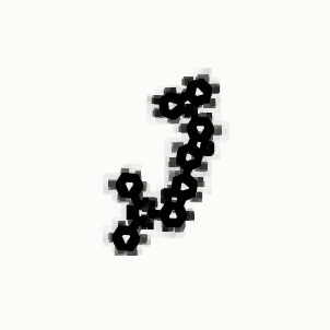 c1ccc(-c2nc(-c3ccccc3)nc(-c3cccc4c3sc3cc(-c5ccc6c(c5)oc5ccc(-n7c8ccccc8c8ccccc87)cc56)ccc34)n2)cc1